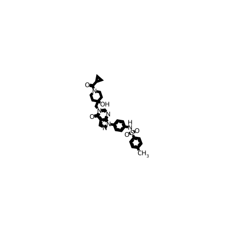 Cc1ccc(S(=O)(=O)Nc2ccc(-n3ncc4c(=O)n(CC5(O)CCN(C(=O)C6CC6)CC5)cnc43)cc2)cc1